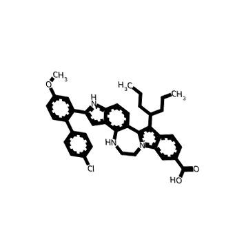 CCCC(CCC)c1c2n(c3cc(C(=O)O)ccc13)CCNc1c-2ccc2[nH]c(-c3cc(OC)ccc3-c3ccc(Cl)cc3)cc12